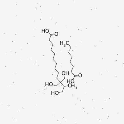 CC(CO)C(CO)(CO)CCCCCCCCCC(=O)O.CCCCCCCC(=O)O